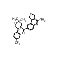 CC1(C)CN(C(=O)c2ccc3nc(N)c4c(c3c2)COC4)[C@@H](c2ccc(C(F)(F)F)cn2)CO1